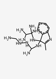 CC1=Nc2ccccc2C1(NC(N)NNCN)NC(N)(N)C(N)N